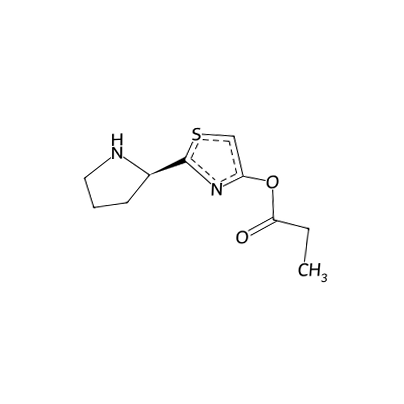 CCC(=O)Oc1csc([C@H]2CCCN2)n1